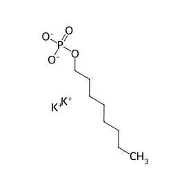 CCCCCCCCOP(=O)([O-])[O-].[K+].[K+]